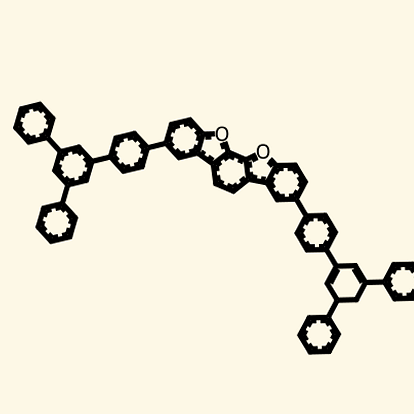 C1=C(c2ccc(-c3ccc4oc5c(ccc6c7cc(-c8ccc(-c9cc(-c%10ccccc%10)cc(-c%10ccccc%10)c9)cc8)ccc7oc65)c4c3)cc2)C=C(c2ccccc2)CC1c1ccccc1